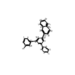 Ic1cccc(-c2cc(-c3ccccc3)cc(-c3ccc4ccccc4c3)c2)c1